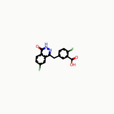 O=C(O)c1cc(Cc2n[nH]c(=O)c3ccc(F)cc23)ccc1F